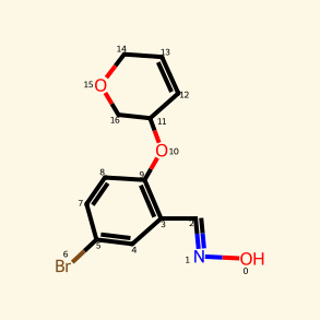 ON=Cc1cc(Br)ccc1OC1C=CCOC1